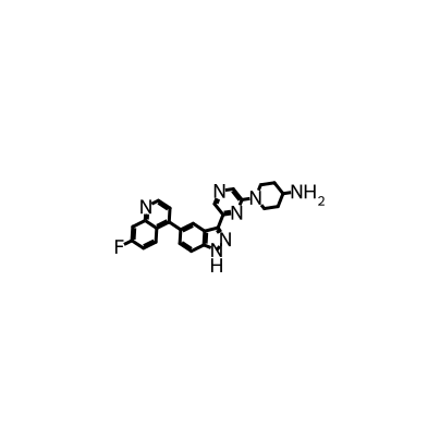 NC1CCN(c2cncc(-c3n[nH]c4ccc(-c5ccnc6cc(F)ccc56)cc34)n2)CC1